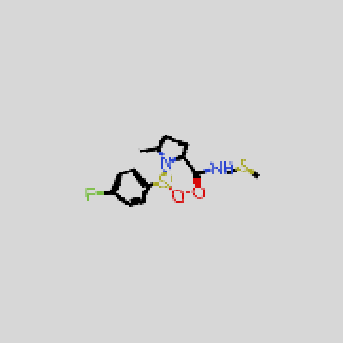 CSCNC(=O)C1CCC(C)N1[S+]([O-])c1ccc(F)cc1